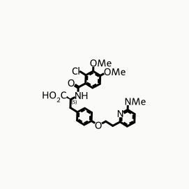 CNc1cccc(CCOc2ccc(C[C@H](NC(=O)c3ccc(OC)c(OC)c3Cl)C(=O)O)cc2)n1